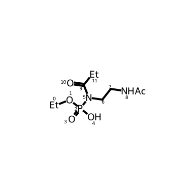 CCOP(=O)(O)N(CCNC(C)=O)C(=O)CC